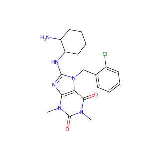 Cn1c(=O)c2c(nc(NC3CCCCC3N)n2Cc2ccccc2Cl)n(C)c1=O